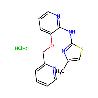 Cc1csc(Nc2ncccc2OCc2ccccn2)n1.Cl.Cl